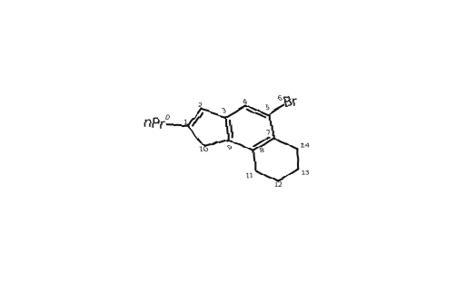 CCCC1=Cc2cc(Br)c3c(c2C1)CCCC3